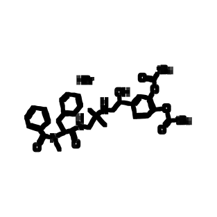 Br.CN(C(=O)c1ccccc1)C(Cc1ccccc1)C(=O)NCC(C)(C)NCC(O)c1ccc(OC(=O)C(C)(C)C)c(OC(=O)C(C)(C)C)c1